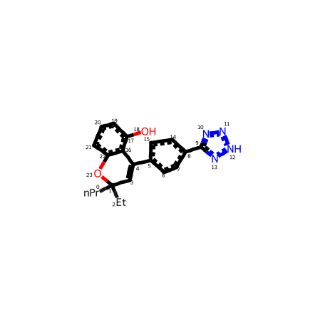 CCCC1(CC)C=C(c2ccc(-c3nn[nH]n3)cc2)c2c(O)cccc2O1